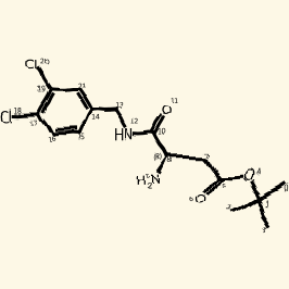 CC(C)(C)OC(=O)C[C@@H](N)C(=O)NCc1ccc(Cl)c(Cl)c1